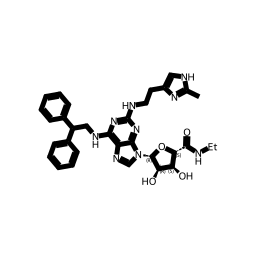 CCNC(=O)[C@H]1O[C@@H](n2cnc3c(NCC(c4ccccc4)c4ccccc4)nc(NCCc4c[nH]c(C)n4)nc32)[C@H](O)[C@@H]1O